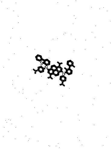 Cc1ccccc1-c1cccc(N(c2ccc(C(C)C)cc2)c2cc(C(C)C)c3ccc4c(N(c5ccc(C(C)C)cc5)c5cccc6c5sc5ccccc56)cc(C(C)C)c5ccc2c3c54)c1C